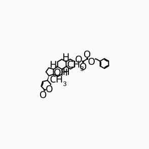 C[C@]12CC[C@H](OC(=O)C(=O)OCc3ccccc3)C[C@H]1CC[C@@H]1[C@@H]2CC[C@]2(C)[C@@H](C3C=CC(=O)OC3)CC[C@]12O